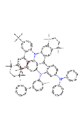 Cc1ccc(-c2ccccc2)cc1N1c2cc(N(c3ccccc3)c3ccccc3)ccc2B2c3cc4c(cc3N(c3ccc(C(C)(C)C)cc3-c3ccc5c(c3)C(C)(C)CCC5(C)C)c3cc(C(C)(C)C)cc1c32)C(C)(C)CCC4(C)C